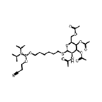 CC(=O)NC1C(SCCCCCCOP(OCCC#N)N(C(C)C)C(C)C)OC(COC(C)=O)C(OC(C)=O)C1OC(C)=O